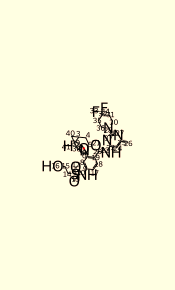 COC[C@]12CCN(c3cc(NS(=O)(=O)CCO)ccc3C(=O)Nc3cc(C)nc(N4CCC(F)(F)CC4)n3)C[C@H]1C2